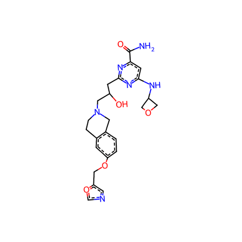 NC(=O)c1cc(NC2COC2)nc(CC(O)CN2CCc3cc(OCc4cnco4)ccc3C2)n1